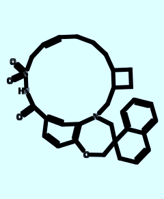 O=C1NS(=O)(=O)CC=CCCCC2CCC2CN2CC3(CC=Cc4ccccc43)COc3ccc1cc32